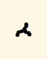 c1ccc2ncc(-c3ccc4c(c3)c3cc(-c5cnc6ccccc6c5)ccc3n4-c3ccc(-c4ccc5sc6ccccc6c5c4)cc3)cc2c1